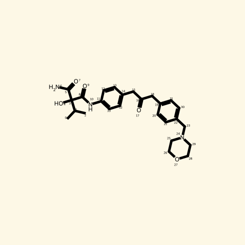 CC(C)C(O)(C(N)=O)C(=O)Nc1ccc(CC(=O)Cc2ccc(CN3CCOCC3)cc2)cc1